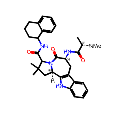 CN[C@@H](C)C(=O)N[C@H]1Cc2c([nH]c3ccccc23)[C@H]2CC(C)(C)C(C(=O)NC3CCCc4ccccc43)N2C1=O